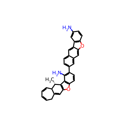 C[C@@H]1c2c(oc3ccc(-c4ccc5cc6c(cc5c4)oc4ccc(N)cc46)c(N)c23)C=C2CC=CC=CC21